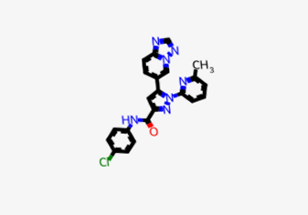 Cc1cccc(-n2nc(C(=O)Nc3ccc(Cl)cc3)cc2-c2ccc3ncnn3c2)n1